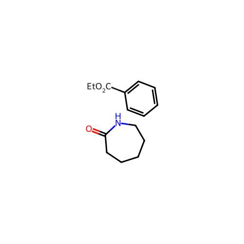 CCOC(=O)c1ccccc1.O=C1CCCCCN1